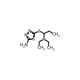 CCC(Sc1nnc(N)s1)N(CC)CC